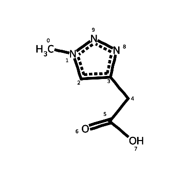 Cn1cc(CC(=O)O)nn1